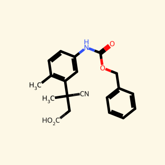 Cc1ccc(NC(=O)OCc2ccccc2)cc1C(C)(C#N)CC(=O)O